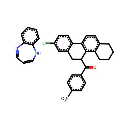 C1=CNc2ccccc2N=C1.O=C(c1ccc([N+](=O)[O-])cc1)C1Cc2cc(Cl)ccc2-c2ccc3c(c21)CCCC3